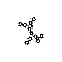 CC1(C)c2cc(-c3ccccc3)ccc2N(c2ccc(-c3ccccc3)cc2)c2ccc(-c3ccc(N(c4ccc(-c5ccccc5)cc4)c4ccc5c(c4)c4ccccc4n5-c4ccccc4)cc3)cc21